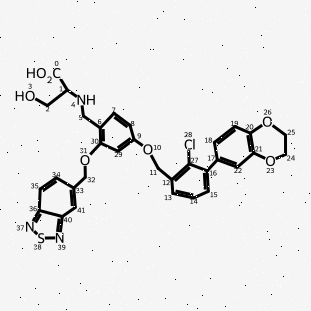 O=C(O)C(CO)NCc1ccc(OCc2cccc(-c3ccc4c(c3)OCCO4)c2Cl)cc1OCc1ccc2nsnc2c1